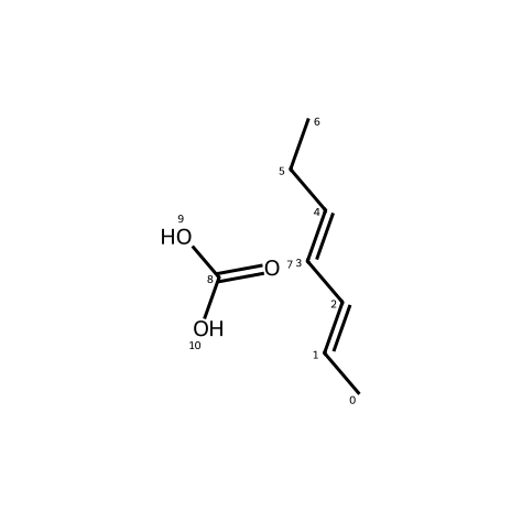 CC=CC=CCC.O=C(O)O